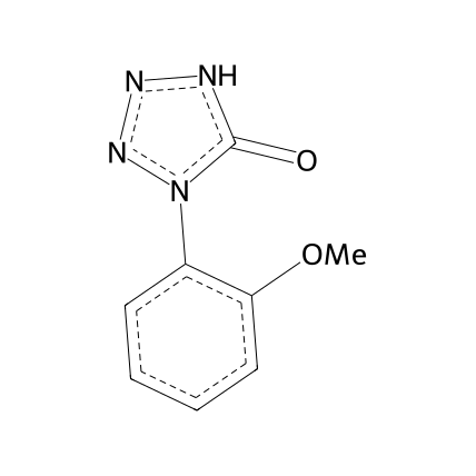 COc1ccccc1-n1nn[nH]c1=O